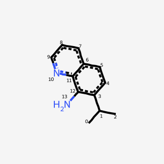 CC(C)c1ccc2cccnc2c1N